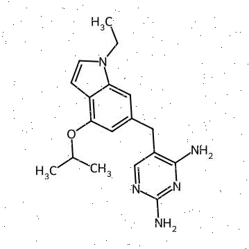 CCn1ccc2c(OC(C)C)cc(Cc3cnc(N)nc3N)cc21